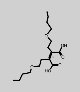 CCCCOCC/C(C(=O)O)=C(\CCOCCCC)C(=O)O